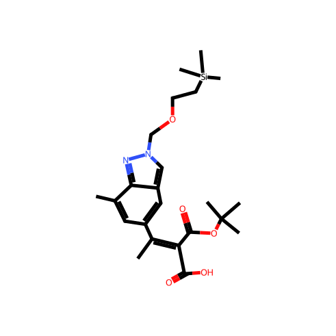 CC(=C(C(=O)O)C(=O)OC(C)(C)C)c1cc(C)c2nn(COCC[Si](C)(C)C)cc2c1